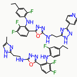 CCc1ccc(Nc2c(-c3nnc(NCCc4nc(-c5ccncc5)n[nH]4)o3)ccc(F)c2F)c(F)c1.CCc1ccc(Nc2c(-c3nnc(NCCc4nc(C)c[nH]4)o3)ccc(F)c2F)c(F)c1